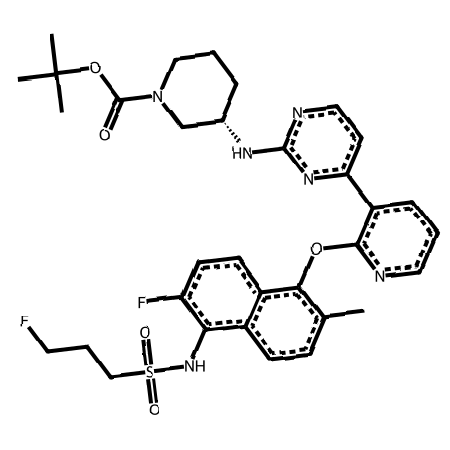 Cc1ccc2c(NS(=O)(=O)CCCF)c(F)ccc2c1Oc1ncccc1-c1ccnc(N[C@H]2CCCN(C(=O)OC(C)(C)C)C2)n1